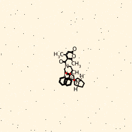 Cc1cc(=O)oc(C)c1C(=O)N1CCC(CCN2[C@@H]3CC[C@H]2CC(n2c(C)nc4ccccc42)C3)(c2ccccc2)CC1